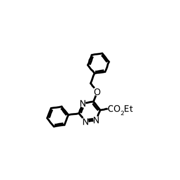 CCOC(=O)c1nnc(-c2ccccc2)nc1OCc1ccccc1